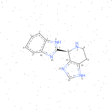 c1ccc2[nH]c([C@H]3NCCc4[nH]cnc43)nc2c1